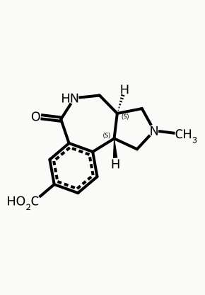 CN1C[C@@H]2CNC(=O)c3cc(C(=O)O)ccc3[C@H]2C1